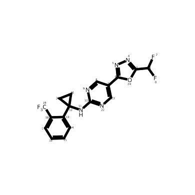 FC(F)c1nnc(-c2cnc(NC3(c4ccccc4C(F)(F)F)CC3)nc2)o1